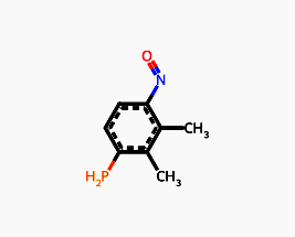 Cc1c(P)ccc(N=O)c1C